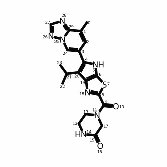 Cc1cc(-c2[nH]c3sc(C(=O)N4CCNC(=O)C4)nc3c2C(C)C)cn2ncnc12